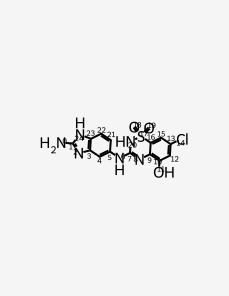 Nc1nc2cc(NC3=Nc4c(O)cc(Cl)cc4S(=O)(=O)N3)ccc2[nH]1